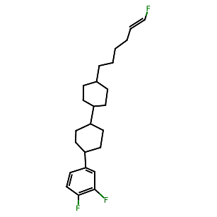 FC=CCCCCC1CCC(C2CCC(c3ccc(F)c(F)c3)CC2)CC1